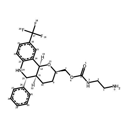 NCCNC(=O)OC[C@H]1CC[C@@H]2[C@H](O1)c1cc(C(F)(F)F)ccc1N[C@H]2c1ccccc1